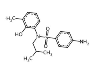 [CH2]c1cccc(N(CC(C)C)S(=O)(=O)c2ccc(N)cc2)c1O